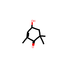 CC1=CC(O)CC(C)(C)C1=O